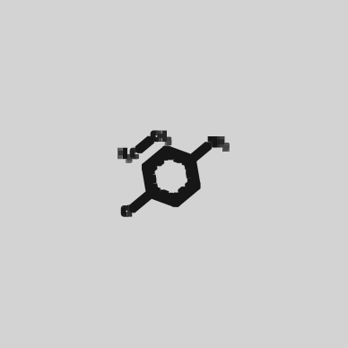 CC.Nc1ccc(Cl)cc1